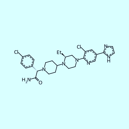 CC[C@H]1CN(c2ncc(-c3ncc[nH]3)cc2Cl)CCN1C1CCN([C@H](C(N)=O)c2ccc(Cl)cc2)CC1